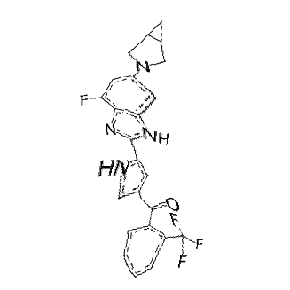 O=C(c1c[nH]c(-c2nc3c(F)cc(N4CC5CC5C4)cc3[nH]2)c1)c1ccccc1C(F)(F)F